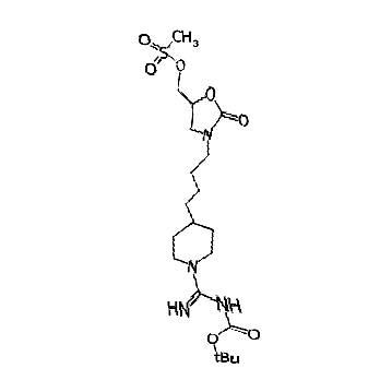 CC(C)(C)OC(=O)NC(=N)N1CCC(CCCCN2CC(COS(C)(=O)=O)OC2=O)CC1